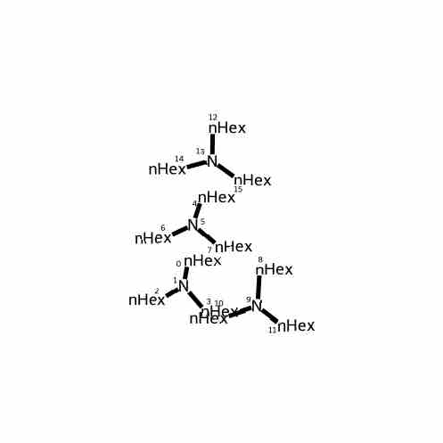 CCCCCCN(CCCCCC)CCCCCC.CCCCCCN(CCCCCC)CCCCCC.CCCCCCN(CCCCCC)CCCCCC.CCCCCCN(CCCCCC)CCCCCC